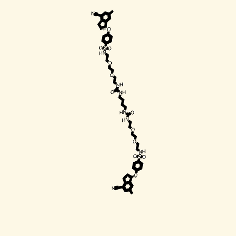 Cc1cc(C#N)c2c(c1)[C@H](Oc1ccc(S(=O)(=O)NCCOCCOCCNC(=O)NCCCCNC(=O)NCCOCCOCCNS(=O)(=O)c3ccc(O[C@@H]4CCc5c(C#N)cc(C)cc54)cc3)cc1)CC2